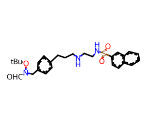 CC(C)(C)ON(C=O)Cc1ccc(CCCNCCNS(=O)(=O)c2ccc3ccccc3c2)cc1